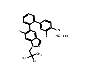 CC(C)(O)Cn1ncc2cc(-c3ccccc3-c3ccc(C#N)c(F)c3)c(F)cc21.Cl.Cl